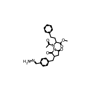 COC(=O)C(CCc1ccccc1)N(C(C)=O)N1C(=O)CC(Cc2ccc(C=NN)cc2)C1=O